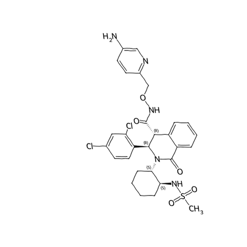 CS(=O)(=O)N[C@H]1CCCC[C@@H]1N1C(=O)c2ccccc2[C@@H](C(=O)NOCc2ccc(N)cn2)[C@@H]1c1ccc(Cl)cc1Cl